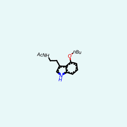 CCCCOc1cccc2[nH]cc(CCNC(C)=O)c12